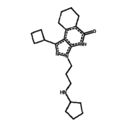 O=c1[nH]c2c(c(C3CCC3)nn2CCCNC2CCCC2)c2c1CCCC2